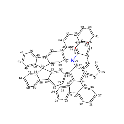 c1ccc(-c2ccccc2N(c2ccc3c4ccccc4c4ccccc4c3c2)c2cc3c(cc2-c2ccc4ccccc4c2)-c2ccccc2C32c3ccccc3-c3ccccc32)cc1